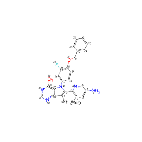 CCc1c(-c2ncc(N)cc2OC)n(-c2ccc(OCc3ccccc3)c(F)c2)c2c(O)ncnc12